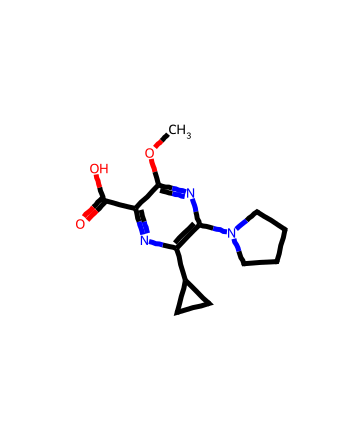 COc1nc(N2CCCC2)c(C2CC2)nc1C(=O)O